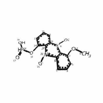 COc1cccc2c1[n+]([O-])c1cccc(O[PH](=O)O)c1[n+]2[O-]